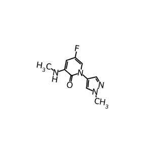 CNc1cc(F)cn(-c2cnn(C)c2)c1=O